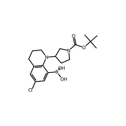 CC(C)(C)OC(=O)N1CCC(N2CCCc3cc(Cl)cc(B(O)O)c32)C1